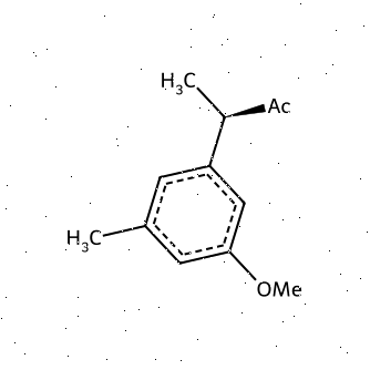 COc1cc(C)cc([C@@H](C)C(C)=O)c1